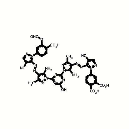 Cc1nn(-c2nc(O)nc(-n3nc(C)c(N=Nc4c(C#N)cnn4-c4ccc(C(=O)O)c(C(=O)O)c4)c3N)n2)c(N)c1N=Nc1c(C#N)cnn1-c1ccc(C(=O)O)c(OC=O)c1